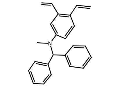 C=Cc1ccc(N(C)C(c2ccccc2)c2ccccc2)cc1C=C